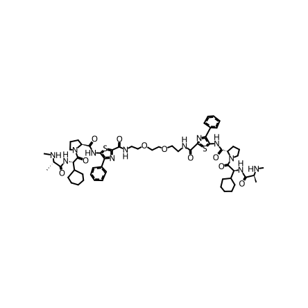 CN[C@@H](C)C(=O)N[C@H](C(=O)N1CCC[C@H]1C(=O)Nc1sc(C(=O)NCCOCCOCCNC(=O)c2nc(-c3ccccc3)c(NC(=O)[C@@H]3CCCN3C(=O)[C@@H](NC(=O)[C@H](C)NC)C3CCCCC3)s2)nc1-c1ccccc1)C1CCCCC1